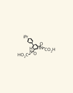 CC(C)c1ccc(-c2cc(C(=O)NCC(=O)O)cc(C(=O)NCC(=O)O)c2)cc1